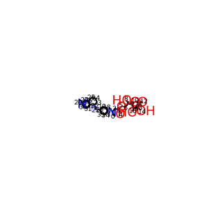 CN(CC(=O)OCC(O)C1OC(=O)C(O)=C1O)c1ccc(/C=C2\CCCc3c[n+](C)ccc32)cc1